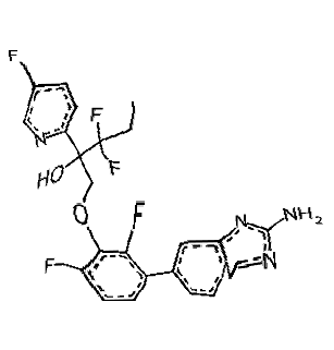 CCC(F)(F)C(O)(COc1c(F)ccc(-c2ccn3nc(N)nc3c2)c1F)c1ccc(F)cn1